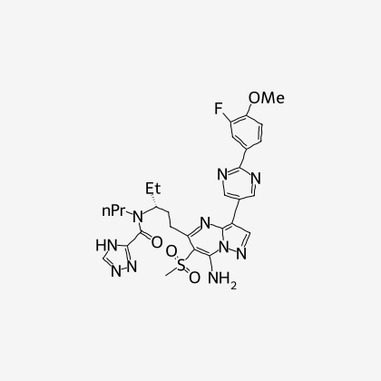 CCCN(C(=O)c1nnc[nH]1)[C@H](CC)CCc1nc2c(-c3cnc(-c4ccc(OC)c(F)c4)nc3)cnn2c(N)c1S(C)(=O)=O